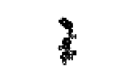 O=C1CCC(N2Cc3cc(NCCc4ccc5ccccc5c4)ccc3C2=O)C(O)N1